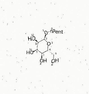 CCCCCO[C@H]1O[C@H](CO)[C@@H](O)[C@@H](O)[C@H]1O